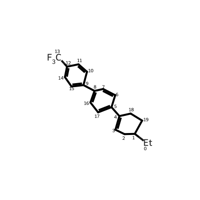 CCC1CC=C(c2ccc(-c3ccc(C(F)(F)F)cc3)cc2)CC1